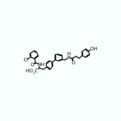 O=C(CCc1ccc(O)cc1)NCc1cccc(-c2ccc(CC(NC(=O)c3ccccc3Cl)C(=O)O)cc2)c1